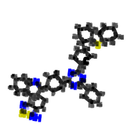 N=C1C=Cc2c(-c3ccc(-c4nc(-c5ccccc5)nc(-c5ccc(-c6cccc7c6sc6ccccc67)cc5)n4)cc3)nc3ccccc3c2/C1=N/S